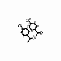 CC(=O)c1ccc(Cl)cc1.CC(=O)c1ccc(Cl)cc1